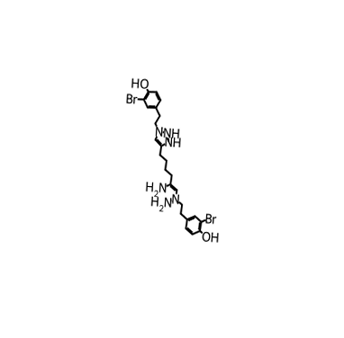 N/C(=C\N(N)CCc1ccc(O)c(Br)c1)CCCCC1=CN(CCc2ccc(O)c(Br)c2)NN1